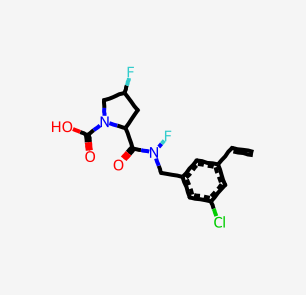 C=Cc1cc(Cl)cc(CN(F)C(=O)C2CC(F)CN2C(=O)O)c1